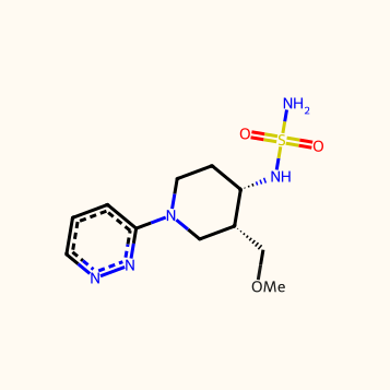 COC[C@@H]1CN(c2cccnn2)CC[C@@H]1NS(N)(=O)=O